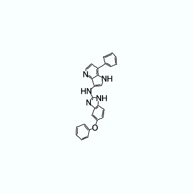 c1ccc(Oc2ccc3[nH]c(Nc4c[nH]c5c(-c6ccccc6)ccnc45)nc3c2)cc1